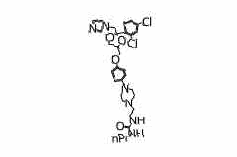 CCCNC(=O)NCCN1CCN(c2ccc(OCC3COC(Cn4ccnc4)(c4ccc(Cl)cc4Cl)O3)cc2)CC1